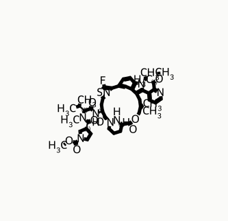 CCn1c(-c2cccnc2[C@H](C)OC)c2c3cc(ccc31)-c1nc(sc1F)C[C@H](NC(=O)[C@H](C(C)C)N(C)C(=O)[C@H]1CCN(C(=O)OC)C1)C(=O)N1CCC[C@H](N1)C(=O)OCC(C)(C)C2